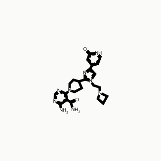 NC(=O)c1c(N)ncnc1N1CCC(c2nc(-c3cc[nH]c(=O)c3)cn2CCN2CCC2)CC1